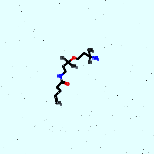 C=CCCC(=O)NCCC(C)(CC)OCCC(C)(N)CC